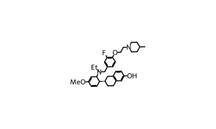 CCN(Cc1ccc(OCCN2CCC(C)CC2)c(F)c1)C1C=C(OC)C=CC1[C@@H]1CCc2cc(O)ccc2C1